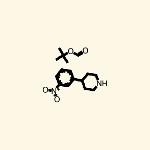 CC(C)(C)OC=O.O=[N+]([O-])c1cccc(C2CCNCC2)c1